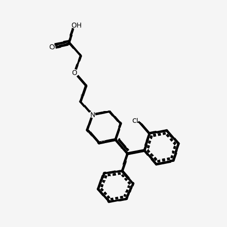 O=C(O)COCCN1CCC(=C(c2ccccc2)c2ccccc2Cl)CC1